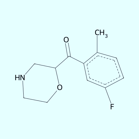 Cc1ccc(F)cc1C(=O)C1CNCCO1